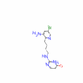 Nc1cc(Br)cnc1CCCCNc1nccc(=O)[nH]1